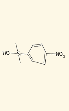 C[Si](C)(O)c1ccc([N+](=O)[O-])cc1